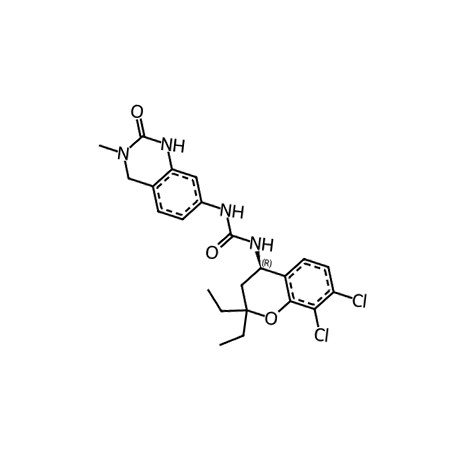 CCC1(CC)C[C@@H](NC(=O)Nc2ccc3c(c2)NC(=O)N(C)C3)c2ccc(Cl)c(Cl)c2O1